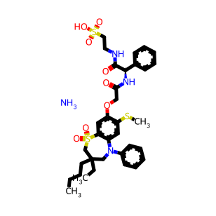 CCCCC1(CC)CN(c2ccccc2)c2cc(SC)c(OCC(=O)N[C@@H](C(=O)NCCS(=O)(=O)O)c3ccccc3)cc2S(=O)(=O)C1.N